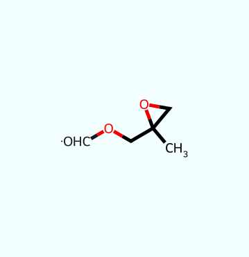 CC1(CO[C]=O)CO1